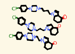 O=C1CCCc2c1ccn2CCCCN1CCN(c2ccc(Cl)cc2)CC1.O=C1CCCc2c1ccn2CCCN1CCN(c2ccc(Cl)cc2)CC1.O=C1CCCc2c1ccn2CCN1CCN(c2ccc(Cl)cc2)CC1